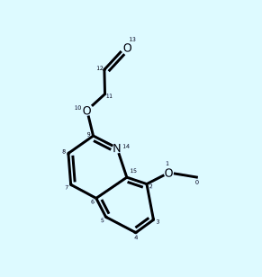 COc1cccc2ccc(OCC=O)nc12